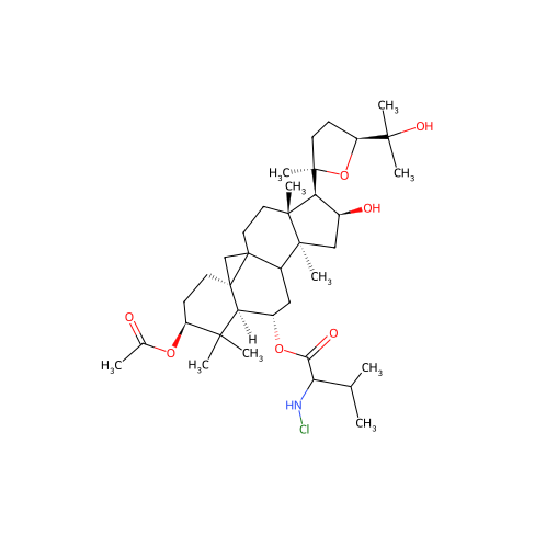 CC(=O)O[C@H]1CC[C@]23CC24CC[C@]2(C)[C@@H]([C@@]5(C)CC[C@@H](C(C)(C)O)O5)[C@@H](O)C[C@@]2(C)C4C[C@H](OC(=O)C(NCl)C(C)C)[C@H]3C1(C)C